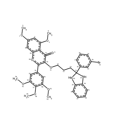 COc1cc(OC)c2c(=O)c(OCCCC3(c4cccc(Br)c4)Nc4ccccc4N3)c(-c3cc(OC)c(OC)c(OC)c3)oc2c1